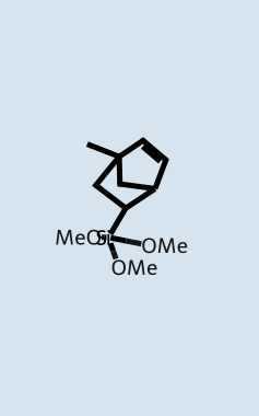 CO[Si](OC)(OC)C1CC2(C)C=CC1C2